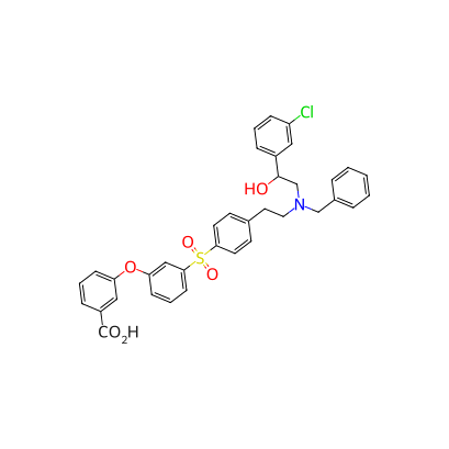 O=C(O)c1cccc(Oc2cccc(S(=O)(=O)c3ccc(CCN(Cc4ccccc4)CC(O)c4cccc(Cl)c4)cc3)c2)c1